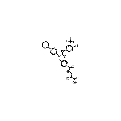 O=C(NCC(O)C(=O)O)c1ccc(CN(C(=O)Nc2ccc(Cl)c(C(F)(F)F)c2)c2ccc(C3CCCCC3)cc2)cc1